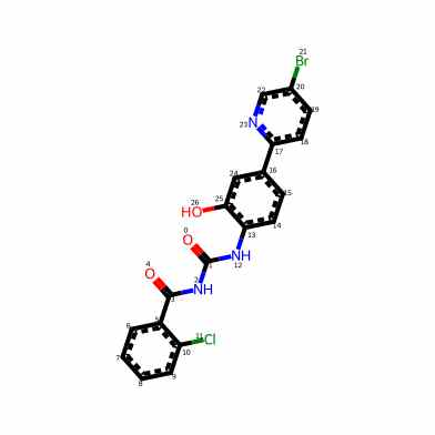 O=C(NC(=O)c1ccccc1Cl)Nc1ccc(-c2ccc(Br)cn2)cc1O